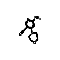 N#Cc1cnc(N)cc1N1CCOCC1